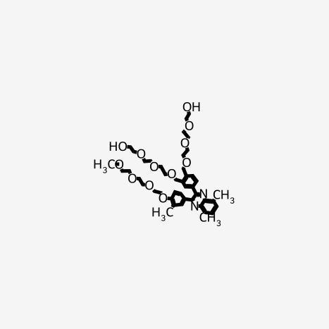 COCCOCCOCCOc1ccc(-c2nc3c(C)ccc(C)c3nc2-c2ccc(COCCOCCOCCO)c(COCCOCCOCCO)c2)cc1C